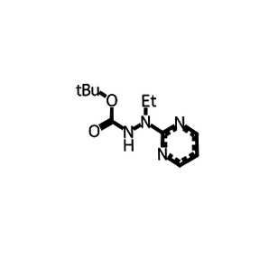 CCN(NC(=O)OC(C)(C)C)c1ncccn1